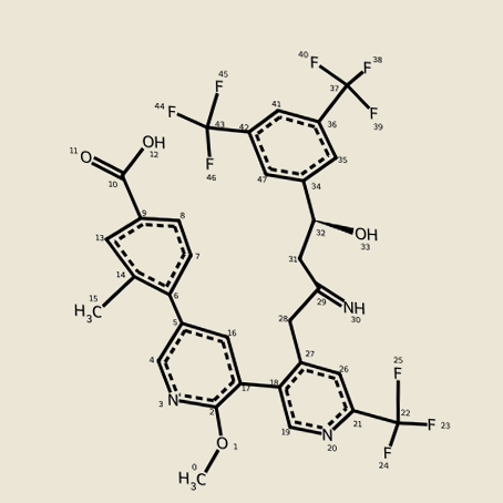 COc1ncc(-c2ccc(C(=O)O)cc2C)cc1-c1cnc(C(F)(F)F)cc1CC(=N)C[C@H](O)c1cc(C(F)(F)F)cc(C(F)(F)F)c1